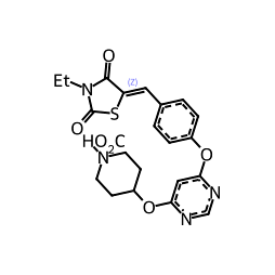 CCN1C(=O)S/C(=C\c2ccc(Oc3cc(OC4CCN(C(=O)O)CC4)ncn3)cc2)C1=O